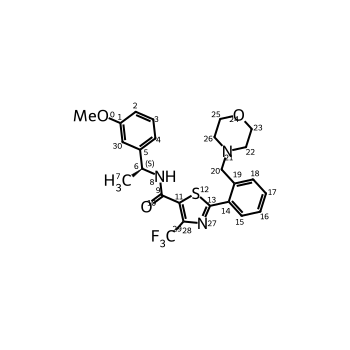 COc1cccc([C@H](C)NC(=O)c2sc(-c3ccccc3CN3CCOCC3)nc2C(F)(F)F)c1